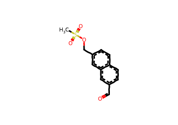 CS(=O)(=O)OCc1ccc2ccc(C=O)cc2c1